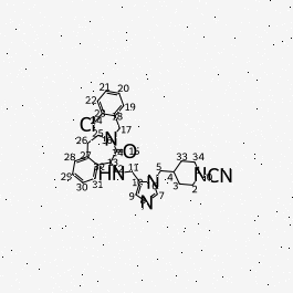 N#CN1CCC(Cn2cncc2CNC2C(=O)N(Cc3ccccc3Cl)CCc3ccccc32)CC1